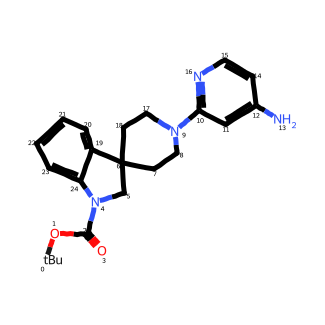 CC(C)(C)OC(=O)N1CC2(CCN(c3cc(N)ccn3)CC2)c2ccccc21